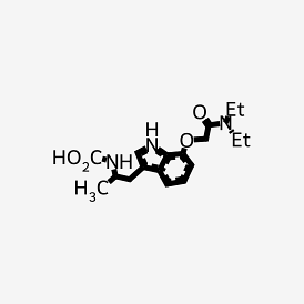 CCN(CC)C(=O)COc1cccc2c(CC(C)NC(=O)O)c[nH]c12